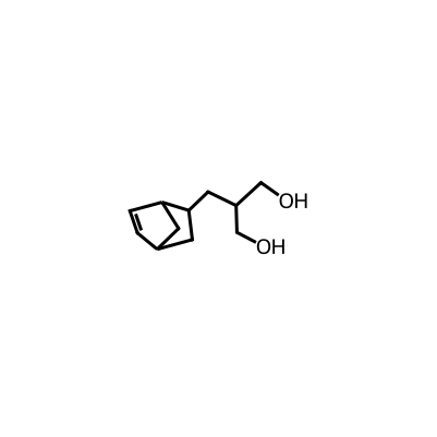 OCC(CO)CC1CC2C=CC1C2